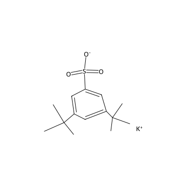 CC(C)(C)c1cc(C(C)(C)C)cc(S(=O)(=O)[O-])c1.[K+]